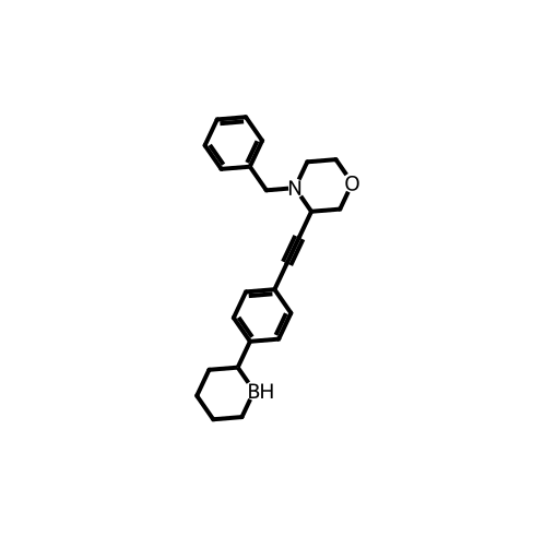 B1CCCCC1c1ccc(C#CC2COCCN2Cc2ccccc2)cc1